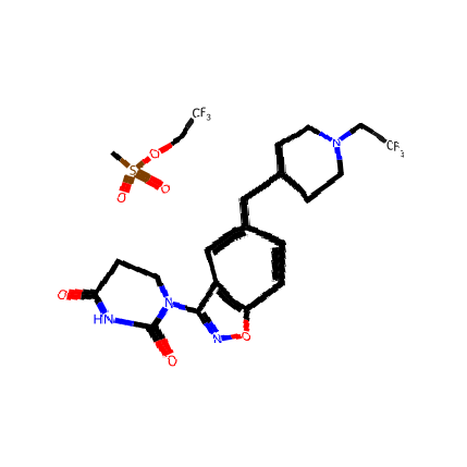 CS(=O)(=O)OCC(F)(F)F.O=C1CCN(c2noc3ccc(CC4CCN(CC(F)(F)F)CC4)cc23)C(=O)N1